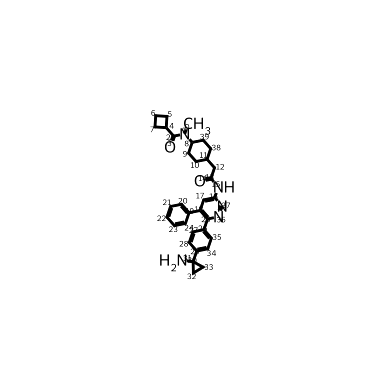 CN(C(=O)C1CCC1)C1CCC(CC(=O)Nc2cc(-c3ccccc3)c(-c3ccc(C4(N)CC4)cc3)nn2)CC1